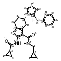 O=C(NCC1CC1)c1c(NC(=O)C2CC2)sc2c1C[C@@H](n1cnnc1Nc1ccccn1)CC2